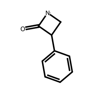 O=C1[N]CC1c1ccccc1